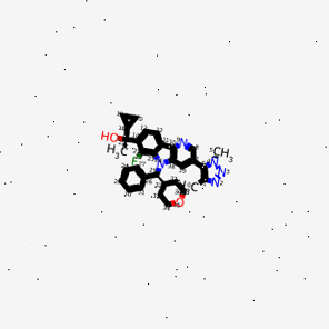 Cc1nnn(C)c1-c1cnc2c3ccc([C@](C)(O)C4CC4)c(F)c3n([C@H](c3ccccc3)C3CCOCC3)c2c1